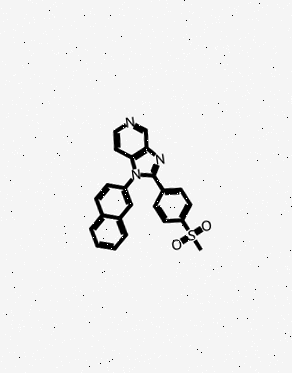 CS(=O)(=O)c1ccc(-c2nc3cnccc3n2-c2ccc3ccccc3c2)cc1